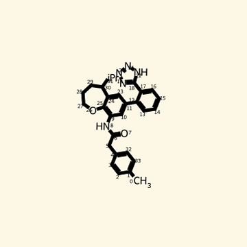 Cc1ccc(CC(=O)Nc2cc(-c3ccccc3-c3nnn[nH]3)cc3c2OCCCC3C(C)C)cc1